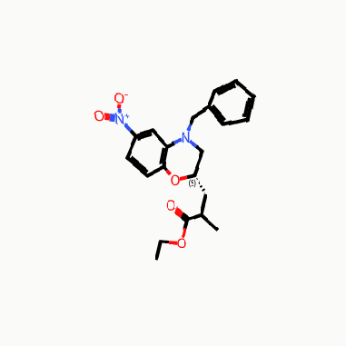 CCOC(=O)C(C)C[C@H]1CN(Cc2ccccc2)c2cc([N+](=O)[O-])ccc2O1